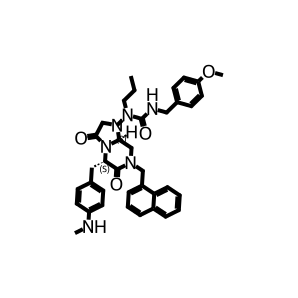 CCCN(C(=O)NCc1ccc(OC)cc1)N1CC(=O)N2[C@@H](Cc3ccc(NC)cc3)C(=O)N(Cc3cccc4ccccc34)C[C@@H]21